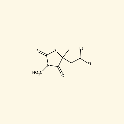 CCC(CC)CC1(C)SC(=S)N(C(=O)O)C1=O